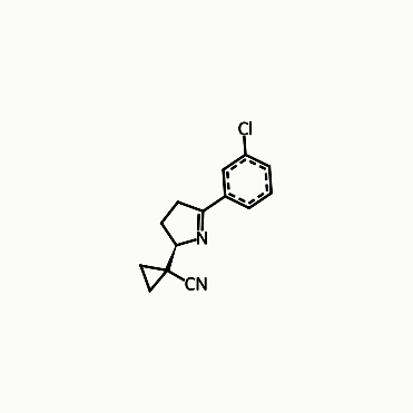 N#CC1([C@H]2CCC(c3cccc(Cl)c3)=N2)CC1